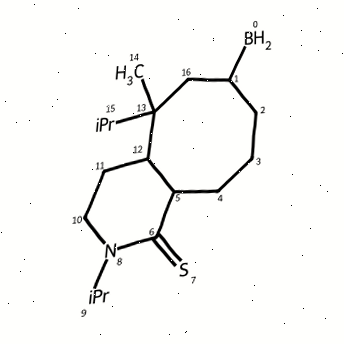 BC1CCCC2C(=S)N(C(C)C)CCC2C(C)(C(C)C)C1